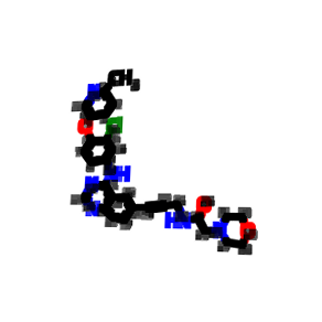 Cc1ccc(Oc2ccc(Nc3ncnc4ccc(C#CCNC(=O)CN5CCOCC5)cc34)cc2Cl)cn1